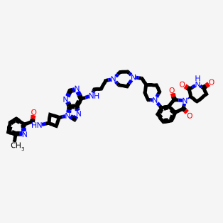 Cc1cccc(C(=O)NC2CC(n3cnc4c(NCCCN5CCN(CC6CCN(c7cccc8c7C(=O)N([C@H]7CCC(=O)NC7=O)C8=O)CC6)CC5)ncnc43)C2)n1